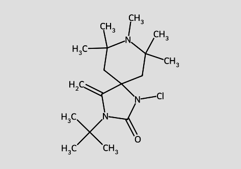 C=C1N(C(C)(C)C)C(=O)N(Cl)C12CC(C)(C)N(C)C(C)(C)C2